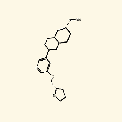 CCCCO[C@@H]1CCC2CN(c3cncc(OC[C@@H]4CCCN4)c3)CCC2C1